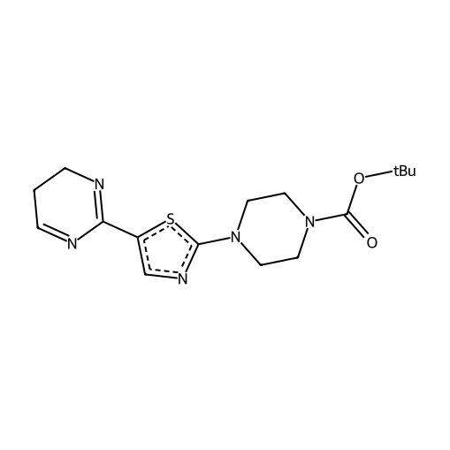 CC(C)(C)OC(=O)N1CCN(c2ncc(C3=NCCC=N3)s2)CC1